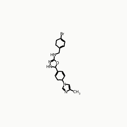 Cc1cn(C2C=CC(C3NN=C(NCC4=CC=C(Br)CC4)O3)=CC2)cn1